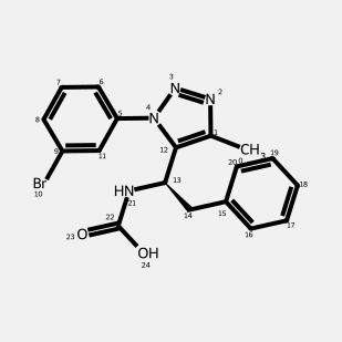 Cc1nnn(-c2cccc(Br)c2)c1[C@@H](Cc1ccccc1)NC(=O)O